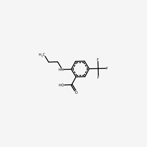 CCCNc1ccc(C(F)(F)F)cc1C(=O)O